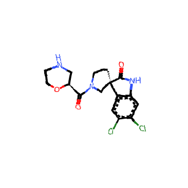 O=C([C@@H]1CNCCO1)N1CC[C@]2(C1)C(=O)Nc1cc(Cl)c(Cl)cc12